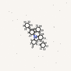 Cc1ccc2c(c1)c1c(-c3ccccc3)ccc(-c3ccccc3)c1n2-c1ccc(-c2ccccc2)cc1